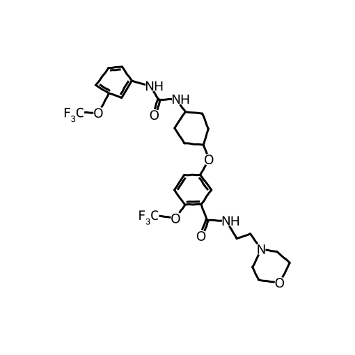 O=C(Nc1cccc(OC(F)(F)F)c1)NC1CCC(Oc2ccc(OC(F)(F)F)c(C(=O)NCCN3CCOCC3)c2)CC1